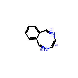 [C]1=N/C=C\N=C/c2ccccc2\1